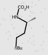 CCCCCC[C@@H](C)NC(=O)O